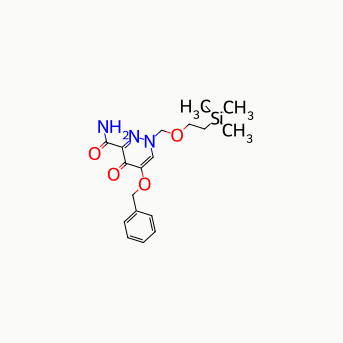 C[Si](C)(C)CCOCn1cc(OCc2ccccc2)c(=O)c(C(N)=O)n1